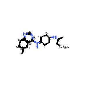 CSCC(C)NC1CCC(Nc2ncnc3ccc(C)cc23)CC1